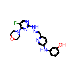 Oc1cccc(Nc2ccc(/C=N/Nc3ncc(F)c(N4CCOCC4)n3)nc2)c1